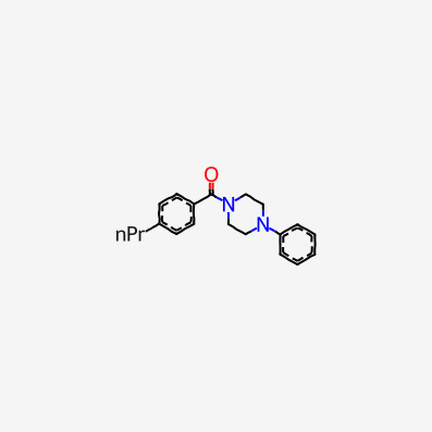 CCCc1ccc(C(=O)N2CCN(c3ccccc3)CC2)cc1